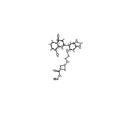 CC(C)(C)OC(=O)C1CC(OCCOc2cc3c(cc2-c2cc(=O)c4cccc(Cl)c4o2)OCO3)C1